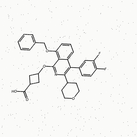 O=C(O)C1CC(Oc2nc(C3CCOCC3)c(-c3ccc(F)c(F)c3)c3cccc(OCc4ccccc4)c23)C1